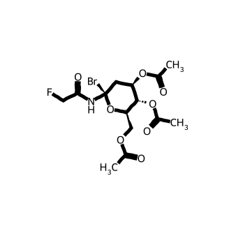 CC(=O)OC[C@H]1O[C@](Br)(NC(=O)CF)C[C@@H](OC(C)=O)[C@@H]1OC(C)=O